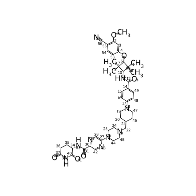 COc1cc(OC2C(C)(C)C(NC(=O)c3ccc(N4CCC(CN5CCN(c6cnc(C(=O)N[C@H]7CCC(=O)NC7=O)cn6)CC5)CC4)cc3)C2(C)C)ccc1C#N